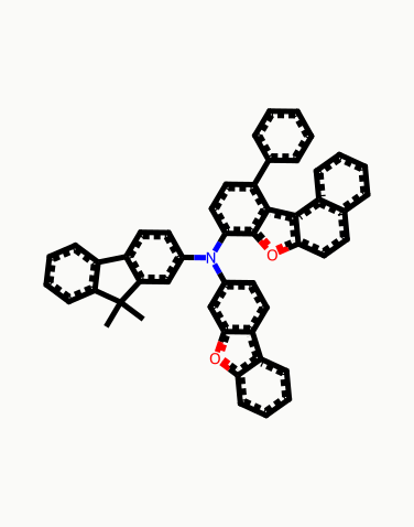 CC1(C)c2ccccc2-c2ccc(N(c3ccc4c(c3)oc3ccccc34)c3ccc(-c4ccccc4)c4c3oc3ccc5ccccc5c34)cc21